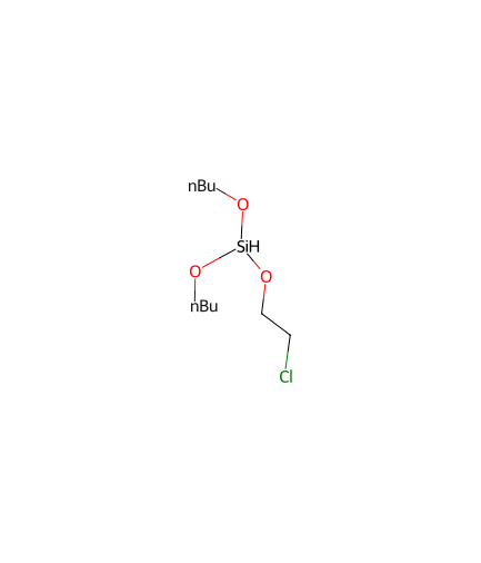 CCCCO[SiH](OCCCl)OCCCC